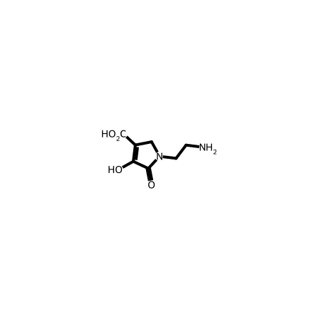 NCCN1CC(C(=O)O)=C(O)C1=O